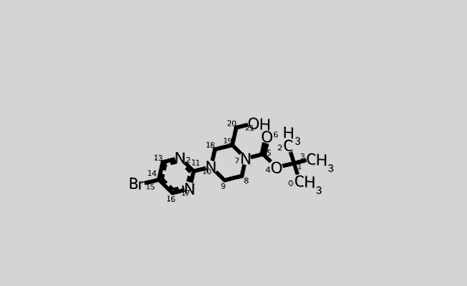 CC(C)(C)OC(=O)N1CCN(c2ncc(Br)cn2)CC1CO